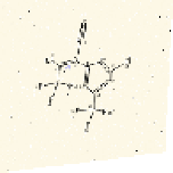 N#C/C(=C(\Cl)C(F)(F)F)c1cc(Cl)cc(C(F)(F)F)c1